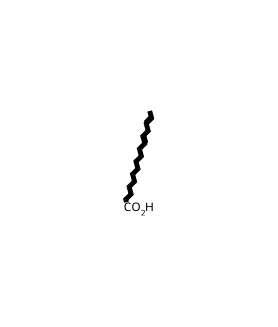 C/C=C/C/C=C/CCCCCCCCCC(=O)O